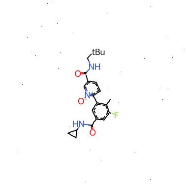 Cc1c(F)cc(C(=O)NC2CC2)cc1-c1ccc(C(=O)NCC(C)(C)C)c[n+]1[O-]